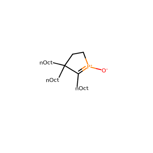 CCCCCCCCC1=[P+]([O-])CCC1(CCCCCCCC)CCCCCCCC